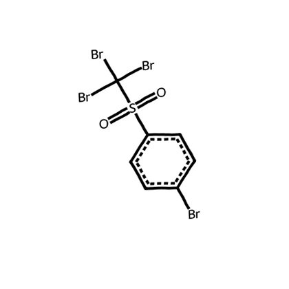 O=S(=O)(c1ccc(Br)cc1)C(Br)(Br)Br